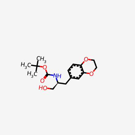 CC(C)(C)OC(=O)N[C@H](CO)Cc1ccc2c(c1)OCCO2